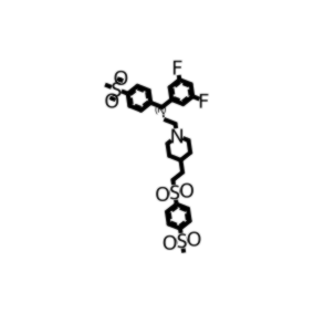 CS(=O)(=O)c1ccc([C@@H](CCN2CCC(CCS(=O)(=O)c3ccc(S(C)(=O)=O)cc3)CC2)c2cc(F)cc(F)c2)cc1